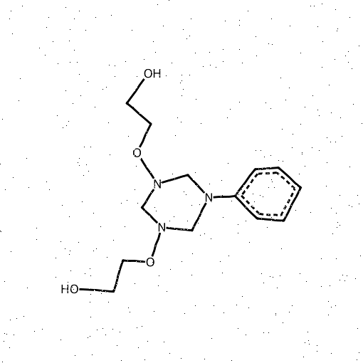 OCCON1CN(OCCO)CN(c2ccccc2)C1